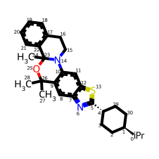 CC(C)[C@H]1CC[C@H](c2nc3cc4c(cc3s2)N2CCc3ccccc3C2(C)OC4(C)C)CC1